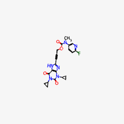 CN(C(=O)OCC#Cc1nc2c([nH]1)c(=O)n(C1CC1)c(=O)n2C1CC1)c1ccc(F)nc1